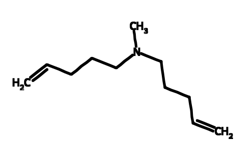 C=CCCCN(C)CCCC=C